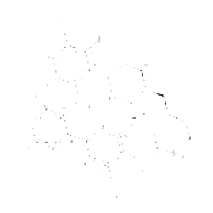 CCCC[C@H]1CC[C@H](c2c(F)c(F)c(C)c(F)c2Oc2ccccc2-c2cc(F)c(OC(F)F)c(F)c2)CC1